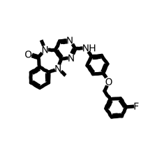 CN1C(=O)c2ccccc2N(C)c2nc(Nc3ccc(OCc4cccc(F)c4)cc3)ncc21